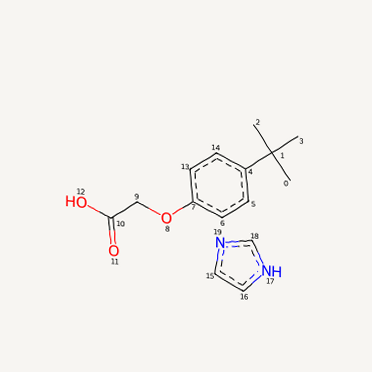 CC(C)(C)c1ccc(OCC(=O)O)cc1.c1c[nH]cn1